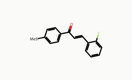 CSc1ccc(C(=O)C=Cc2ccccc2F)cc1